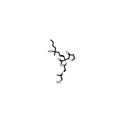 CCCCC(C)(O)C/C=C/[C@](CCC=C=C(C)CO)(C(=O)O)[C@H]1CCCC1=O